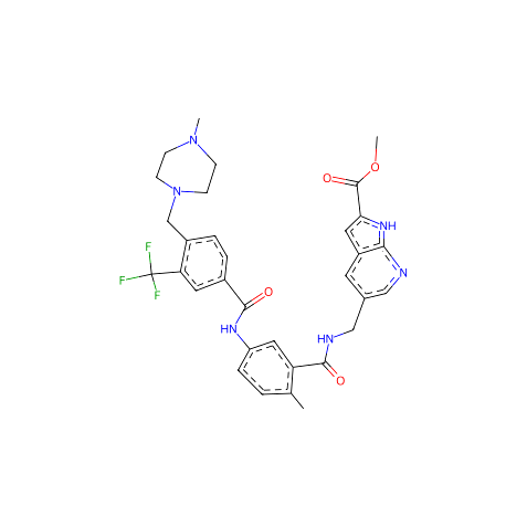 COC(=O)c1cc2cc(CNC(=O)c3cc(NC(=O)c4ccc(CN5CCN(C)CC5)c(C(F)(F)F)c4)ccc3C)cnc2[nH]1